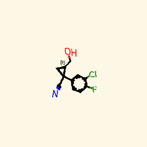 N#CC1(c2ccc(F)c(Cl)c2)C[C@H]1CO